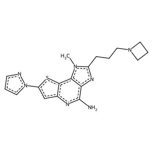 Cn1c(CCCN2CCC2)nc2c(N)nc3cc(-n4cccn4)sc3c21